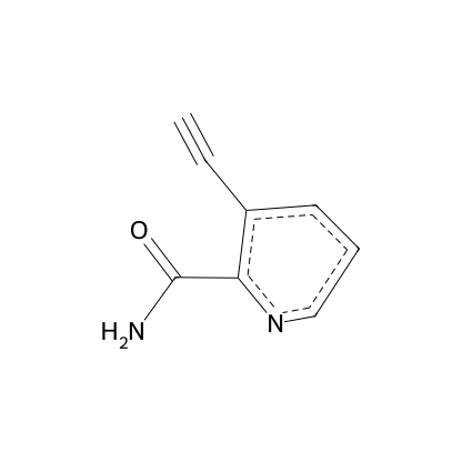 C#Cc1cccnc1C(N)=O